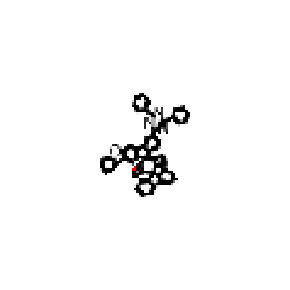 c1ccc(-c2nc(-c3ccccc3)nc(-c3ccc4c(c3)-c3cc5oc6ccccc6c5cc3C43c4ccccc4C4(c5ccccc5-c5ccccc54)c4ccccc43)n2)cc1